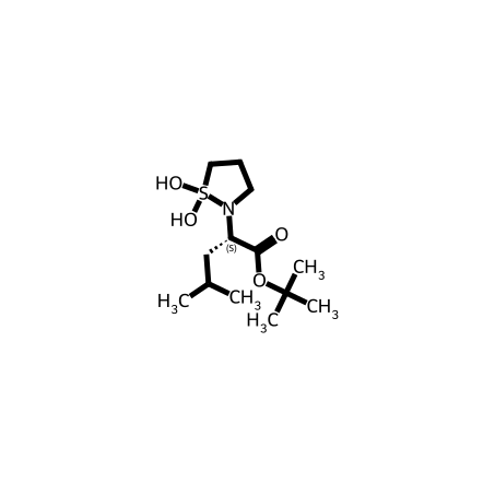 CC(C)C[C@@H](C(=O)OC(C)(C)C)N1CCCS1(O)O